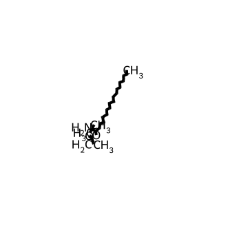 C=C(C)C(=O)OC(CCCCCCCCCCCCCCCCCC)C(C)(C)N